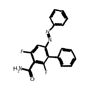 NC(=O)c1c(F)cc(N=Nc2ccccc2)c(-c2ccccc2)c1F